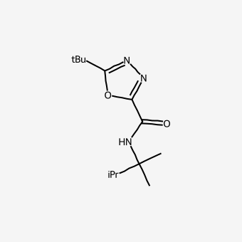 CC(C)C(C)(C)NC(=O)c1nnc(C(C)(C)C)o1